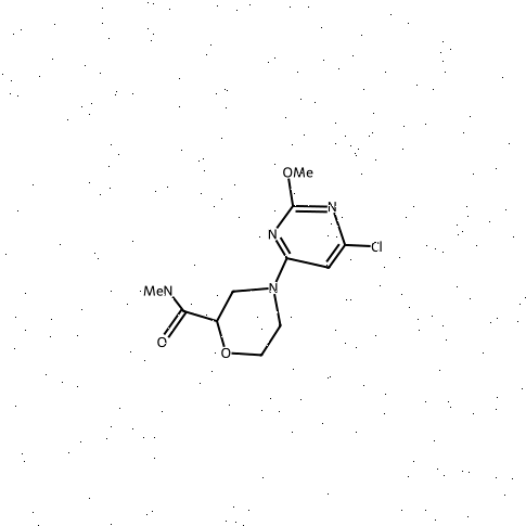 CNC(=O)C1CN(c2cc(Cl)nc(OC)n2)CCO1